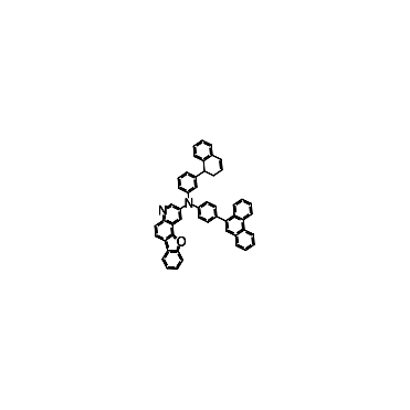 C1=Cc2ccccc2C(c2cccc(N(c3ccc(-c4cc5ccccc5c5ccccc45)cc3)c3cnc4ccc5c6ccccc6oc5c4c3)c2)C1